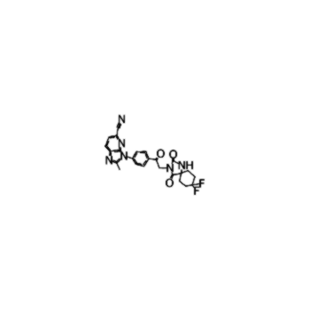 Cc1nc2ccc(C#N)nc2n1-c1ccc(C(=O)CN2C(=O)NC3(CCC(F)(F)CC3)C2=O)cc1